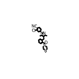 Cc1nn(-c2ccc(C#N)c(Cl)c2)c(C)c1Cc1ccccc1C(=O)N1CCN(C)CC1